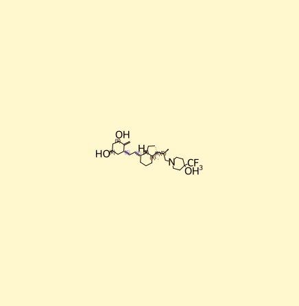 C=C1/C(=C\C=C2/CCC[C@]3(C)[C@@H]([C@@H](C)CN4CCC(O)(C(F)(F)F)CC4)CC[C@@H]23)C[C@@H](O)C[C@@H]1O